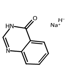 O=c1[nH]cnc2ccccc12.[H-].[Na+]